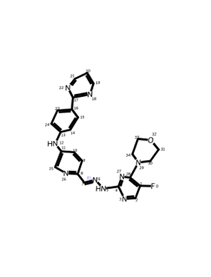 Fc1cnc(N/N=C/c2ccc(Nc3ccc(-c4ncccn4)cc3)cn2)nc1N1CCOCC1